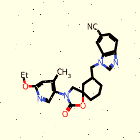 CCOc1cc(C)c(N2CC3(CCCC(Cn4cnc5ccc(C#N)cc54)C3)OC2=O)cn1